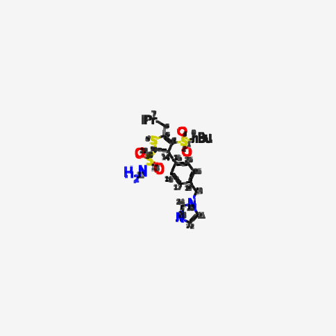 CCCCS(=O)(=O)c1c(CC(C)C)sc(S(N)(=O)=O)c1-c1ccc(Cn2ccnc2)cc1